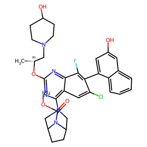 C[C@H](CN1CCC(O)CC1)Oc1nc(N2CC3CCC(C2)N3C(=O)OC(C)(C)C)c2cc(Cl)c(-c3cc(O)cc4ccccc34)c(F)c2n1